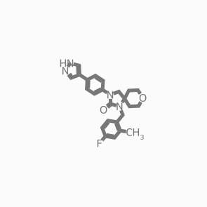 Cc1cc(F)ccc1CN1C(=O)N(c2ccc(-c3cn[nH]c3)cc2)CC12CCOCC2